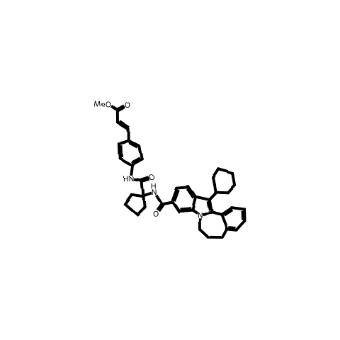 COC(=O)/C=C/c1ccc(NC(=O)C2(NC(=O)c3ccc4c(C5CCCCC5)c5n(c4c3)CCCc3ccccc3-5)CCCC2)cc1